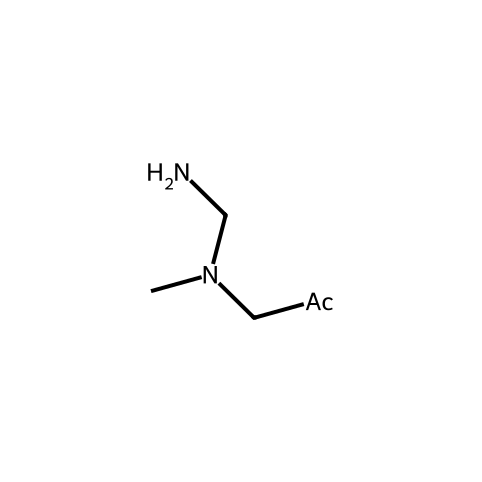 CC(=O)CN(C)CN